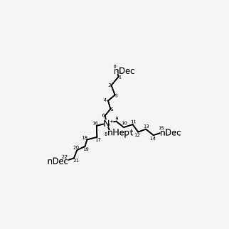 CCCCCCCCCCCCCCCC[N+](CCCCCCC)(CCCCCCCCCCCCCCCC)CCCCCCCCCCCCCCCC